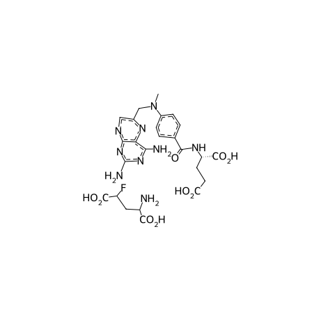 CN(Cc1cnc2nc(N)nc(N)c2n1)c1ccc(C(=O)N[C@@H](CCC(=O)O)C(=O)O)cc1.NC(CC(F)C(=O)O)C(=O)O